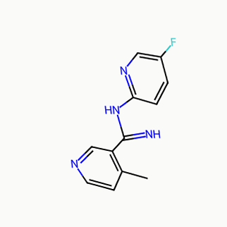 Cc1ccncc1C(=N)Nc1ccc(F)cn1